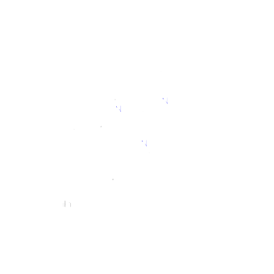 CC(C)c1ccc2nc(N3CCCC3)[nH]c2c1